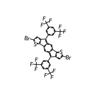 FC(F)(F)c1cc(C2=c3cc4c(cc3-c3sc(Br)cc32)=C(c2cc(C(F)(F)F)cc(C(F)(F)F)c2)c2cc(Br)sc2-4)cc(C(F)(F)F)c1